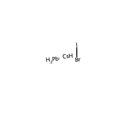 BrI.[CsH].[PbH2]